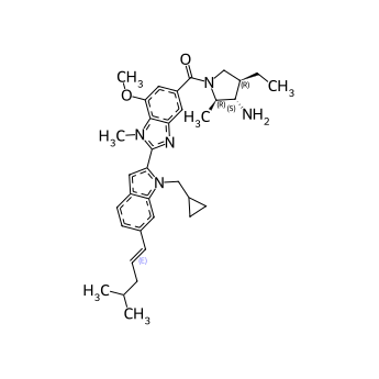 CC[C@@H]1CN(C(=O)c2cc(OC)c3c(c2)nc(-c2cc4ccc(/C=C/CC(C)C)cc4n2CC2CC2)n3C)[C@H](C)[C@H]1N